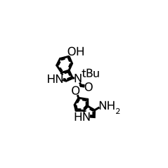 CC(C)(C)N(C(=O)Oc1ccc2[nH]cc(N)c2c1)c1c[nH]c2ccc(O)cc12